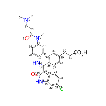 CN(C)CCC(=O)N(C)c1ccc(N/C(=C2\C(=O)Nc3cc(Cl)ccc32)c2ccc(CCC(=O)O)cc2)cc1